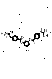 COc1cc(OC(=O)c2ccc(NC(=N)N)cc2)cc(OC(=O)c2ccc(NC(=N)N)cc2)c1